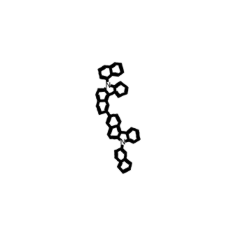 c1ccc2cc(-n3c4ccccc4c4c5ccc(-c6ccc7ccc8c(c7c6)c6ccccc6n8-c6cccc7ccccc67)cc5ccc43)ccc2c1